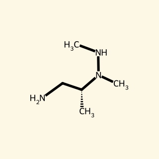 CNN(C)[C@H](C)CN